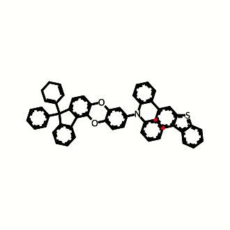 C1=CC(C2(c3ccccc3)c3ccccc3-c3c2ccc2c3Oc3ccc(N(c4ccccc4)c4ccccc4-c4ccc5c(c4)sc4ccccc45)cc3O2)=CCC1